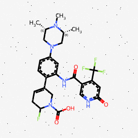 C[C@@H]1CN(c2ccc(C3=CCC(F)N(C(=O)O)C3)c(NC(=O)c3c[nH]c(=O)cc3C(F)(F)F)c2)C[C@H](C)N1C